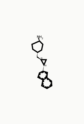 N[C@H]1CC[C@H](C[C@H]2C[C@@H]2c2ccc3ccccc3c2)CC1